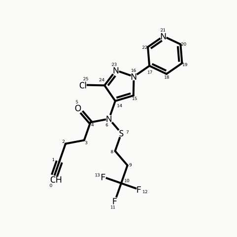 C#CCCC(=O)N(SCCC(F)(F)F)c1cn(-c2cccnc2)nc1Cl